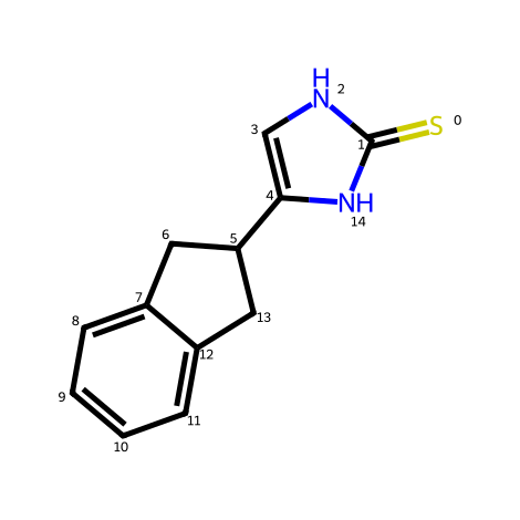 S=c1[nH]cc(C2Cc3ccccc3C2)[nH]1